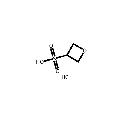 Cl.O=S(=O)(O)C1COC1